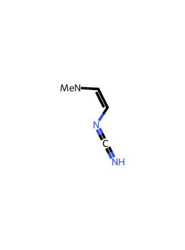 CN/C=C\N=C=N